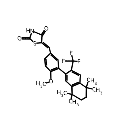 COc1ccc(/C=C2\SC(=O)NC2=O)cc1-c1cc2c(cc1C(F)(F)F)C(C)(C)CCC2(C)C